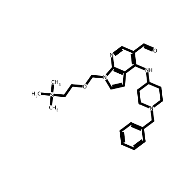 C[Si](C)(C)CCOCn1ccc2c(NC3CCN(Cc4ccccc4)CC3)c(C=O)cnc21